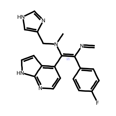 C=N/C(=C(/c1ccnc2[nH]ccc12)N(C)Cc1c[nH]cn1)c1ccc(F)cc1